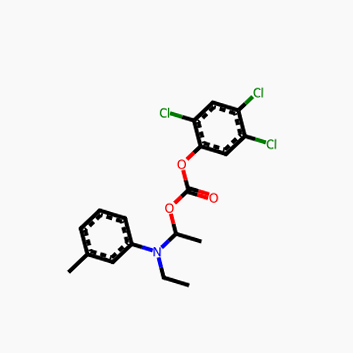 CCN(c1cccc(C)c1)C(C)OC(=O)Oc1cc(Cl)c(Cl)cc1Cl